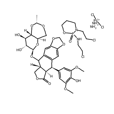 COc1cc([C@@H]2c3cc4c(cc3C(O[C@@H]3O[C@@H]5CO[C@@H](C)O[C@H]5[C@H](O)[C@H]3O)[C@H]3COC(=O)[C@H]23)OCO4)cc(OC)c1O.O=P1(NCCCl)OCCCN1CCCl.[Cl][Pt+2][Cl].[NH2-].[NH2-]